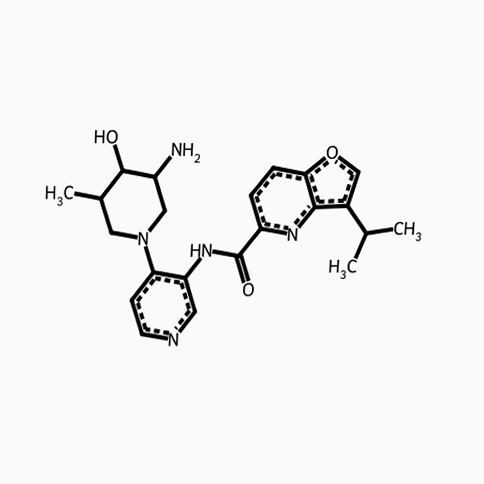 CC(C)c1coc2ccc(C(=O)Nc3cnccc3N3CC(C)C(O)C(N)C3)nc12